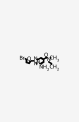 C=CCN(C)C(=O)c1cc(N)n2nc(-c3ccc(Br)o3)nc2c1